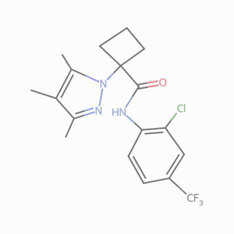 Cc1nn(C2(C(=O)Nc3ccc(C(F)(F)F)cc3Cl)CCC2)c(C)c1C